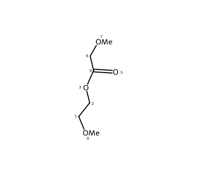 COCCOC(=O)COC